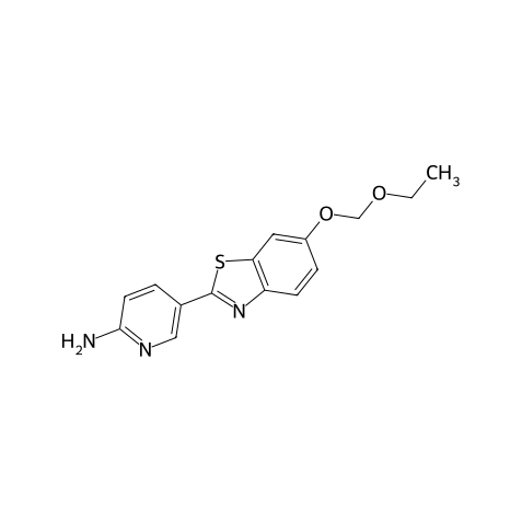 CCOCOc1ccc2nc(-c3ccc(N)nc3)sc2c1